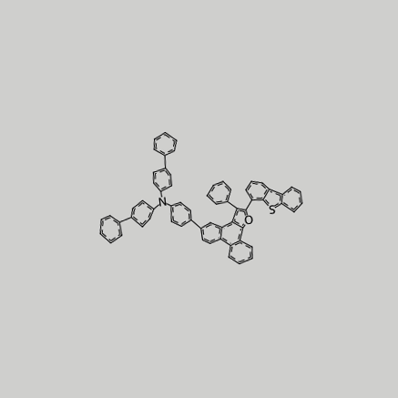 c1ccc(-c2ccc(N(c3ccc(-c4ccccc4)cc3)c3ccc(-c4ccc5c6ccccc6c6oc(-c7cccc8c7sc7ccccc78)c(-c7ccccc7)c6c5c4)cc3)cc2)cc1